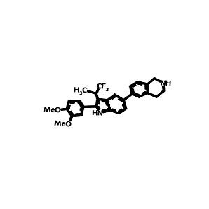 COc1ccc(-c2[nH]c3ccc(-c4ccc5c(c4)CCNC5)cc3c2C(C)C(F)(F)F)cc1OC